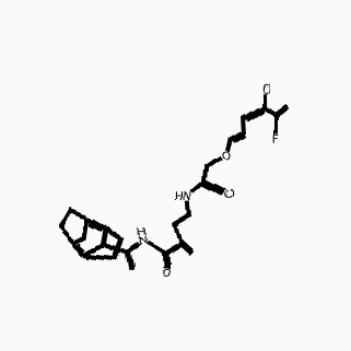 C=C(CCNC(=O)CO/C=C/C=C(/Cl)C(=C)F)C(=O)NC(C)C1C2=C3CCC(=C1CC2)C3